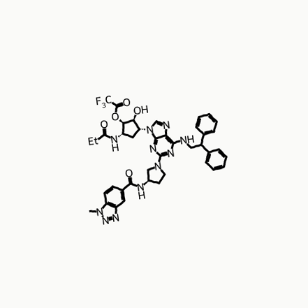 CCC(=O)N[C@H]1C[C@@H](n2cnc3c(NCC(c4ccccc4)c4ccccc4)nc(N4CC[C@@H](NC(=O)c5ccc6c(c5)nnn6C)C4)nc32)[C@H](O)[C@@H]1OC(=O)C(F)(F)F